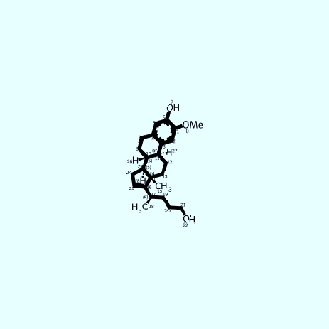 COc1cc2c(cc1O)CC[C@@H]1[C@@H]2CC[C@]2(C)C([C@H](C)CCCO)=CC[C@@H]12